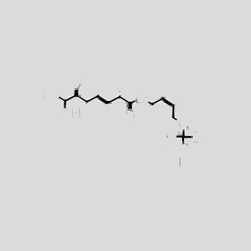 CCC(O)C(=O)C/C=C/CC(=O)OC/C=C\COC(C)(C)CC